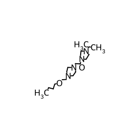 CCCCOCCN1CCN(CC(=O)N2CCN(C(C)C)CC2)CC1